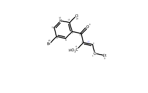 CCO/C=C(\C(=O)O)C(=O)c1cc(Br)cnc1Cl